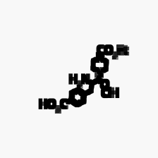 CCOC(=O)N1CCN(C(=O)C(N)Cc2ccc(C(=O)O)cc2)CC1.Cl